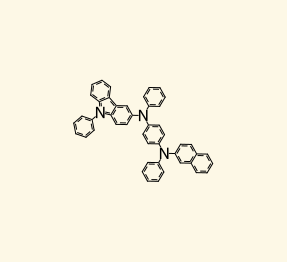 c1ccc(N(c2ccc(N(c3ccccc3)c3ccc4c(c3)c3ccccc3n4-c3ccccc3)cc2)c2ccc3ccccc3c2)cc1